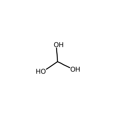 OC(O)O